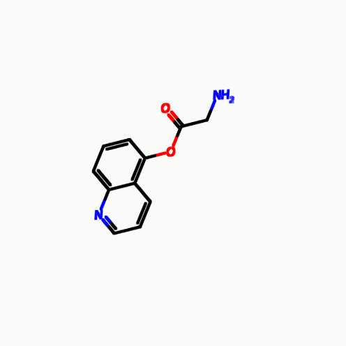 NCC(=O)Oc1cccc2ncccc12